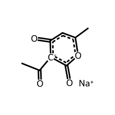 CC(=O)[c-]1c(=O)cc(C)oc1=O.[Na+]